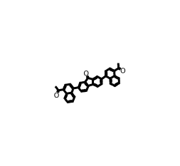 CC(=O)c1ccc(-c2ccc3c(c2)C(=O)c2cc(-c4ccc(C(C)=O)c5ccccc45)ccc2-3)c2ccccc12